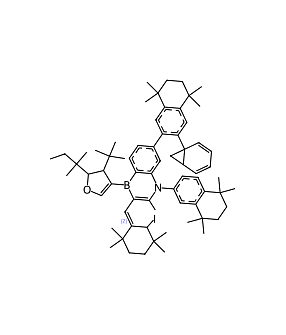 CCC(C)(C)C1OC=C(B2C(/C=C3\C(I)C(C)(C)CCC3(C)C)=C(C)N(c3ccc4c(c3)C(C)(C)CCC4(C)C)c3cc(-c4cc5c(cc4C46C=CC=CC4C6)C(C)(C)CCC5(C)C)ccc32)C1C(C)(C)C